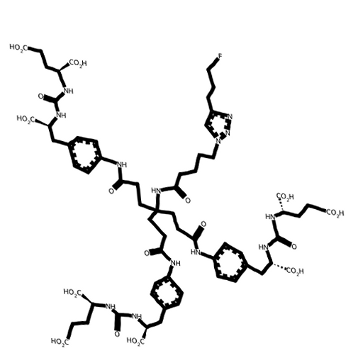 O=C(O)CC[C@H](NC(=O)N[C@@H](Cc1ccc(NC(=O)CCC(CCC(=O)Nc2ccc(C[C@H](NC(=O)N[C@@H](CCC(=O)O)C(=O)O)C(=O)O)cc2)(CCC(=O)Nc2ccc(C[C@H](NC(=O)N[C@@H](CCC(=O)O)C(=O)O)C(=O)O)cc2)NC(=O)CCCCn2cc(CCCF)nn2)cc1)C(=O)O)C(=O)O